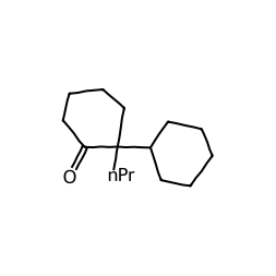 CCCC1(C2CCCCC2)CCCCC1=O